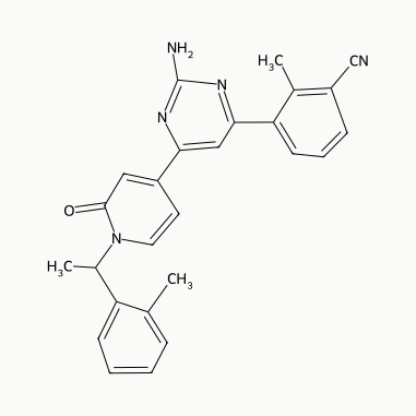 Cc1ccccc1C(C)n1ccc(-c2cc(-c3cccc(C#N)c3C)nc(N)n2)cc1=O